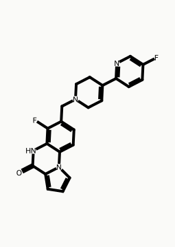 O=c1[nH]c2c(F)c(CN3CC=C(c4ccc(F)cn4)CC3)ccc2n2cccc12